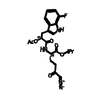 CC(=O)O[C@@H](Cc1c[nH]c2c(F)cccc12)C(=O)N[C@@H](CCC(=O)C=[N+]=[N-])C(=O)OC(C)C